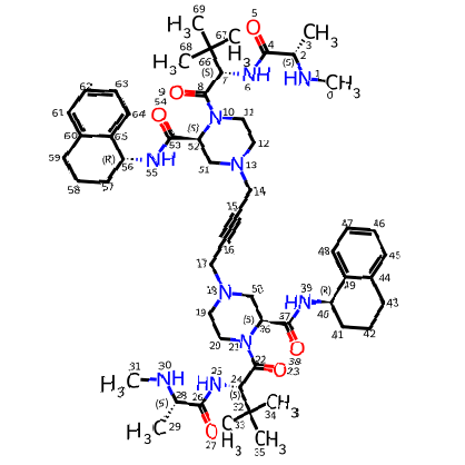 CN[C@@H](C)C(=O)N[C@H](C(=O)N1CCN(CC#CCN2CCN(C(=O)[C@@H](NC(=O)[C@H](C)NC)C(C)(C)C)[C@H](C(=O)N[C@@H]3CCCc4ccccc43)C2)C[C@H]1C(=O)N[C@@H]1CCCc2ccccc21)C(C)(C)C